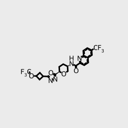 O=C(N[C@H]1CC[C@H](c2nnc(C3CC(OC(F)(F)F)C3)o2)OC1)c1ccc2cc(C(F)(F)F)ccc2n1